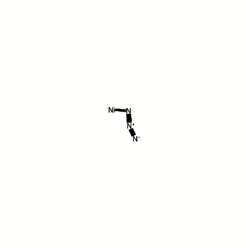 [N-]=[N+]=[N][Ni]